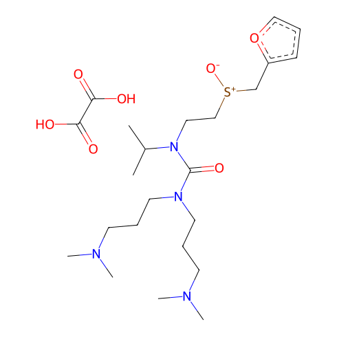 CC(C)N(CC[S+]([O-])Cc1ccco1)C(=O)N(CCCN(C)C)CCCN(C)C.O=C(O)C(=O)O